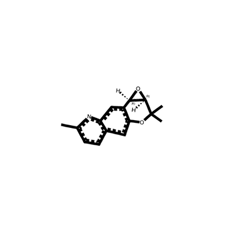 Cc1ccc2cc3c(cc2n1)[C@H]1O[C@H]1C(C)(C)O3